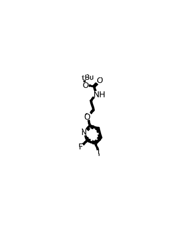 CC(C)(C)OC(=O)NCCOc1ccc(I)c(F)n1